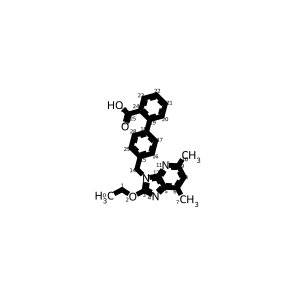 CCOc1nc2c(C)cc(C)nc2n1Cc1ccc(-c2ccccc2C(=O)O)cc1